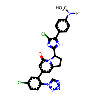 CC(C)N(C(=O)O)c1ccc(-c2[nH]c(C3CCc4cc(-c5cc(Cl)ccc5-n5cnnn5)cc(=O)n43)nc2Cl)cc1